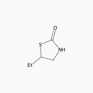 CCC1CNC(=O)S1